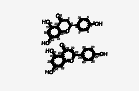 O=C1C[C@@H](c2ccc(O)cc2)Oc2cc(O)cc(O)c21.O=c1cc(-c2ccc(O)cc2)oc2cc(O)cc(O)c12